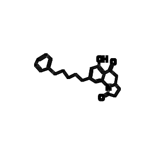 O=C1CC2CCC(=O)N2c2cc(CCCCCc3ccccc3)cc(O)c21